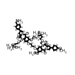 COc1ccc(C2=CN3C(=O)c4cc(OC)c(OCCCOc5cc6c(cc5OC)C(=O)N5C=C(c7ccc(CN)cc7)C[C@H]5C(=O)N6COCC[Si](C)(C)C)cc4N(COCC[Si](C)(C)C)C(=O)[C@@H]3C2)cc1